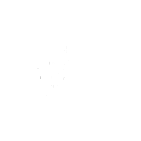 CC(C)C(NC(=O)C(NC(=O)C=Cc1ccc(Cl)c(Cl)c1)c1ccccc1)C(=O)C(F)(F)C(=O)NCC(F)(F)F